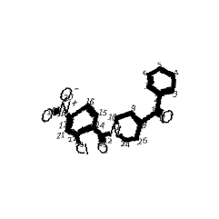 O=C(c1ccccc1)C1CCN(C(=O)c2ccc([N+](=O)[O-])cc2Cl)CC1